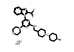 Cl.Cl.FC(F)c1nc2ccccc2n1-c1cc(N2CCOCC2)nc(NCC2CCN([C@H]3CC[C@H](F)CC3)CC2)n1